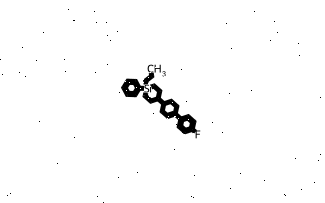 CCC[Si]1(c2ccccc2)CCC(C2CC=C(c3ccc(F)cc3)CC2)CC1